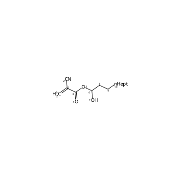 C=C(C#N)C(=O)OC(O)CCCCCCCCC